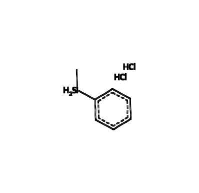 C[SiH2]c1ccccc1.Cl.Cl